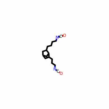 O=C=NCCCCC1CC2CC(CCCN=C=O)C1C2